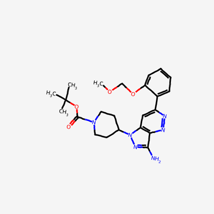 COCOc1ccccc1-c1cc2c(nn1)c(N)nn2C1CCN(C(=O)OC(C)(C)C)CC1